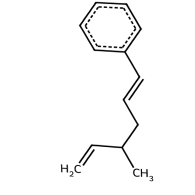 C=CC(C)C/C=C/c1ccccc1